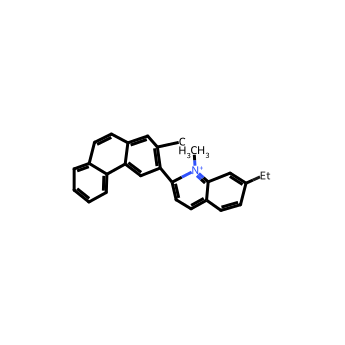 CCc1ccc2ccc(-c3cc4c(ccc5ccccc54)cc3C)[n+](C)c2c1